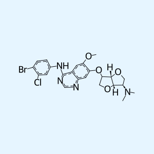 COc1cc2c(Nc3ccc(Br)c(Cl)c3)ncnc2cc1OC1CO[C@H]2[C@H](N(C)C)CO[C@@H]12